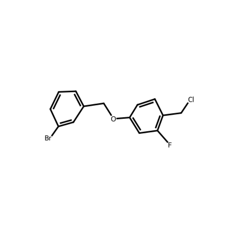 Fc1cc(OCc2cccc(Br)c2)ccc1CCl